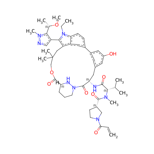 C=CC(=O)N1CC[C@H](C(=O)N(C)[C@H](C(=O)N[C@H]2Cc3cc(O)cc(c3)-c3ccc4c(c3)c(c(-c3cnn(C)c3[C@H](C)OC)n4CC)CC(C)(C)COC(=O)[C@@H]3CCCN(N3)C2=O)C(C)C)C1